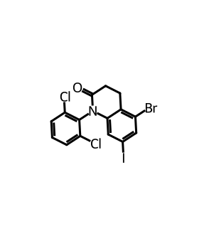 O=C1CCc2c(Br)cc(I)cc2N1c1c(Cl)cccc1Cl